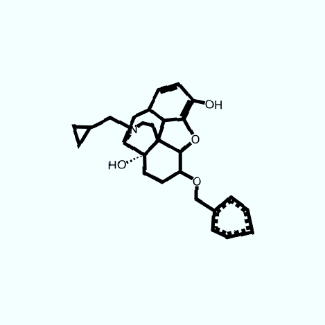 OC1=C2OC3C(OCc4ccccc4)CC[C@@]4(O)C5CC(C=C1)C2C34CCN5CC1CC1